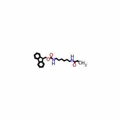 C=CC(=O)NCCCCCCNC(=O)OCC1c2ccccc2-c2ccccc21